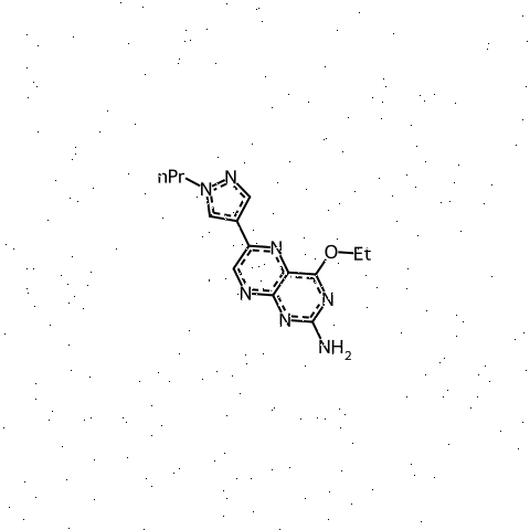 CCCn1cc(-c2cnc3nc(N)nc(OCC)c3n2)cn1